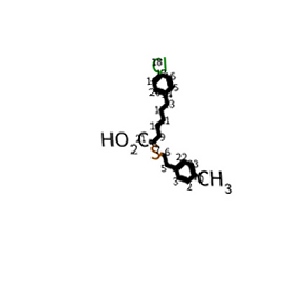 Cc1ccc(CCSC(CCCCCc2ccc(Cl)cc2)C(=O)O)cc1